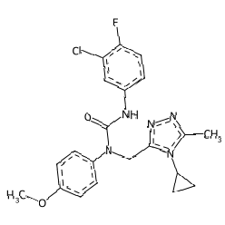 COc1ccc(N(Cc2nnc(C)n2C2CC2)C(=O)Nc2ccc(F)c(Cl)c2)cc1